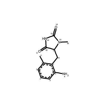 Cc1cccc(N)c1CC1C(=O)NC(=O)N1C